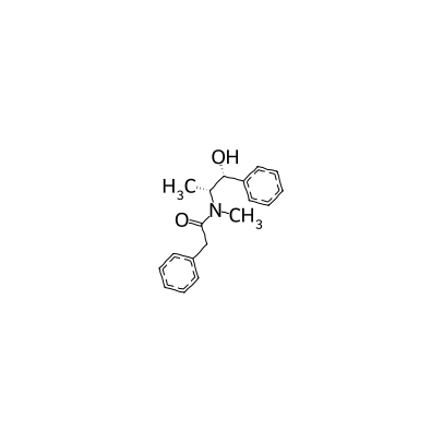 C[C@H]([C@H](O)c1ccccc1)N(C)C(=O)Cc1ccccc1